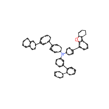 C1=Cc2oc3c(-c4ccc(N(c5ccc(-c6cccc(-c7ccc8ccccc8c7)c6)cc5)c5cccc(-c6ccccc6-c6ccccc6)c5)cc4)cccc3c2CC1